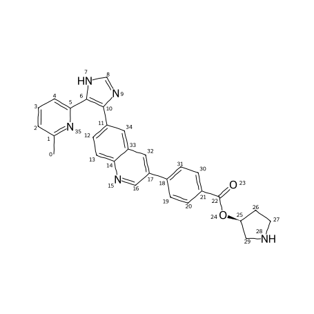 Cc1cccc(-c2[nH]cnc2-c2ccc3ncc(-c4ccc(C(=O)O[C@H]5CCNC5)cc4)cc3c2)n1